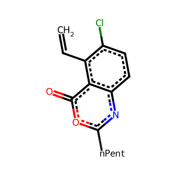 C=Cc1c(Cl)ccc2nc(CCCCC)oc(=O)c12